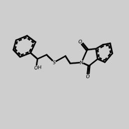 O=C1c2ccccc2C(=O)N1CCSCC(O)c1ccccc1